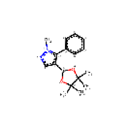 Cn1ncc(B2OC(C)(C)C(C)(C)O2)c1-c1ccccc1